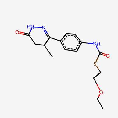 CCOCCSC(=O)Nc1ccc(C2=NNC(=O)CC2C)cc1